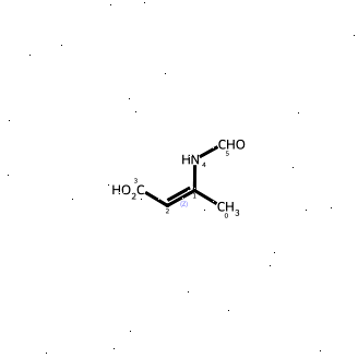 C/C(=C/C(=O)O)NC=O